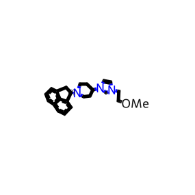 COCCN1C=CN(C2CCN([C@@H]3Cc4cccc5cccc3c45)CC2)C1